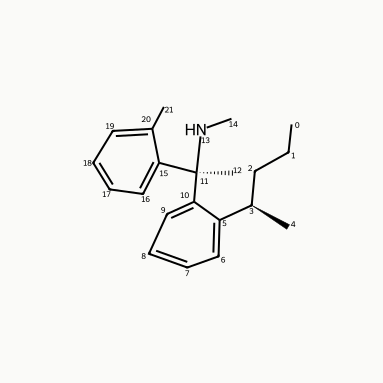 CCC[C@@H](C)c1ccccc1[C@](C)(NC)c1ccccc1C